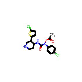 O=C(NC1CCNCC1c1ccc(Cl)s1)N(OC(=O)C(F)(F)F)c1ccc(Cl)cc1